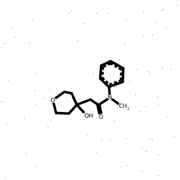 CN(C(=O)CC1(O)CCOCC1)c1ccccc1